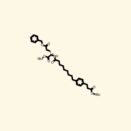 CC(C)(C)OC(=O)CCc1ccc(CCCCCCCCC(=O)N[C@@H](CCC(=O)OCc2ccccc2)C(=O)OC(C)(C)C)cc1